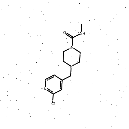 CNC(=O)N1CCN(Cc2ccnc(Cl)c2)CC1